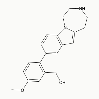 COc1ccc(-c2ccc3c(c2)cc2n3CCNCC2)c(CO)c1